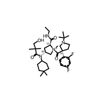 CCNC(=O)[C@@H]1C[C@@H](N(C(=O)C(C)(C)CO)C2CCC(C)(C)CC2)C[N+]1(C)C(=O)[C@]1(c2ccc(F)cc2F)CCN(C(C)(C)C)C1